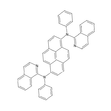 c1ccc(N(c2nccc3ccccc23)c2ccc3ccc4c(N(c5ccccc5)c5nccc6ccccc56)ccc5ccc2c3c54)cc1